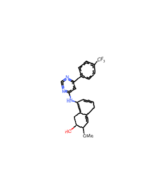 COC1C=C2CC=CC(Nc3cc(-c4ccc(C(F)(F)F)cc4)ncn3)=C2CC1O